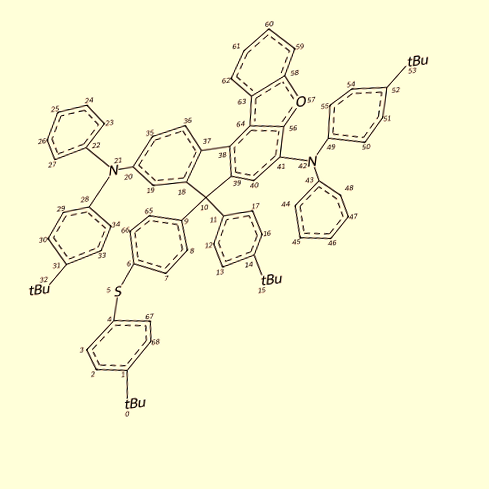 CC(C)(C)c1ccc(Sc2ccc(C3(c4ccc(C(C)(C)C)cc4)c4cc(N(c5ccccc5)c5ccc(C(C)(C)C)cc5)ccc4-c4c3cc(N(c3ccccc3)c3ccc(C(C)(C)C)cc3)c3oc5ccccc5c43)cc2)cc1